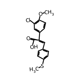 COc1ccc(/C(=C/c2ccc(SC)cc2)C(=O)O)cc1Cl